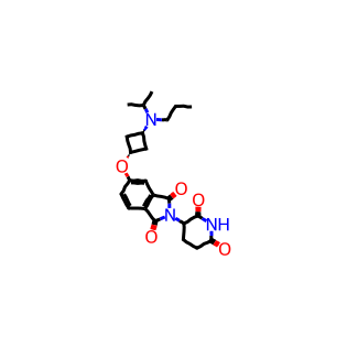 CCCN(C(C)C)[C@H]1C[C@H](Oc2ccc3c(c2)C(=O)N(C2CCC(=O)NC2=O)C3=O)C1